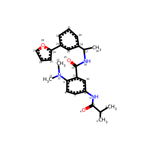 CC(C)C(=O)Nc1ccc(N(C)C)c(C(=O)NC(C)c2cccc(-c3ccco3)c2)c1